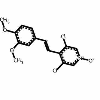 COc1ccc([C]=Cc2c(Cl)c[n+]([O-])cc2Cl)cc1OC